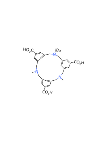 CCC(C)N1Cc2cc(cc(C(=O)O)c2)CN(C)Cc2cc(cc(C(=O)O)c2)CN(C)Cc2cc(cc(C(=O)O)c2)C1